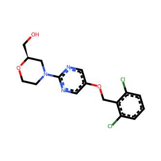 OC[C@H]1CN(c2ncc(OCc3c(Cl)cccc3Cl)cn2)CCO1